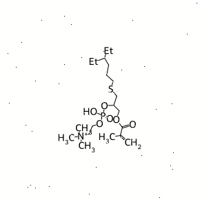 C=C(C)C(=O)OCC(CSCCCC(CC)CC)OP(=O)(O)OCC[N+](C)(C)C